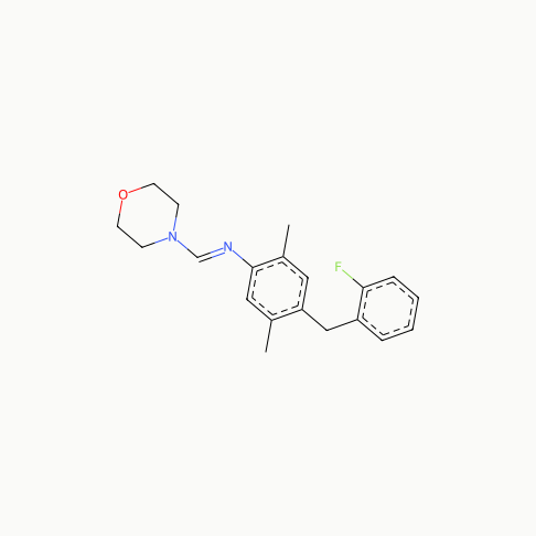 Cc1cc(N=CN2CCOCC2)c(C)cc1Cc1ccccc1F